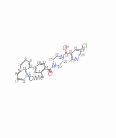 COc1cc(-c2cccc3cccnc23)ccc1C(=O)N1CCN(C(=O)c2cncc(Cl)c2)CC1